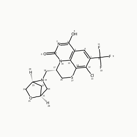 O=c1nc(O)c2cc(C(F)(F)F)c(Cl)c3c2n1[C@@H](CN1C[C@@H]2C[C@H]1CO2)CS3